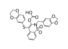 O=C(O)OC1=C(Sc2ccc3c(c2)OCCO3)c2ccccc2S(=O)(=O)N1Cc1ccc2c(c1)OCO2